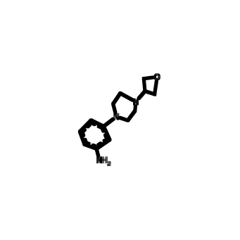 Nc1cccc(N2CCN(C3COC3)CC2)c1